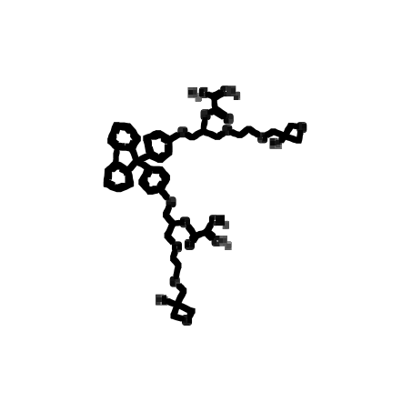 C=C(C)C(=O)OC(COCCOCC1(CC)COC1)COc1ccc(C2(c3ccc(OCC(COCCOCC4(CC)COC4)OC(=O)C(=C)C)cc3)c3ccccc3-c3ccccc32)cc1